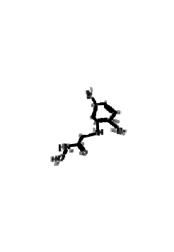 O=C(CNc1cc(Br)ccc1Br)NO